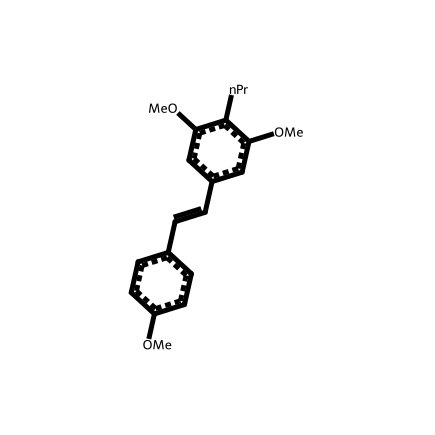 CCCc1c(OC)cc(C=Cc2ccc(OC)cc2)cc1OC